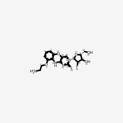 NCCOc1cccc2c1Nc1nc(=S)n([C@@H]3O[C@H](CO)C(O)C3F)cc1O2